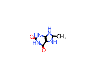 CC1Nc2[nH]c(=O)[nH]c(=O)c2N1